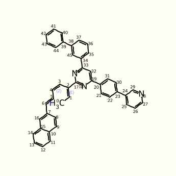 C\C=C(/C=C\C=C\c1ccc2ccccc2c1)c1nc(-c2ccc(-c3cccnc3)cc2)cc(-c2cccc(-c3ccccc3)c2)n1